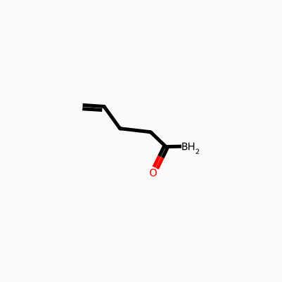 BC(=O)CCC=C